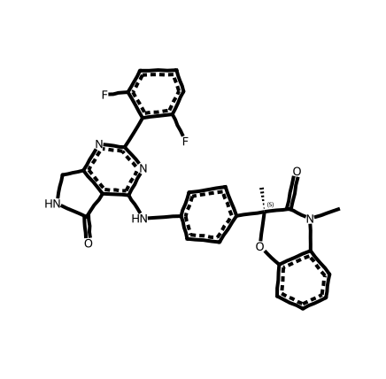 CN1C(=O)[C@](C)(c2ccc(Nc3nc(-c4c(F)cccc4F)nc4c3C(=O)NC4)cc2)Oc2ccccc21